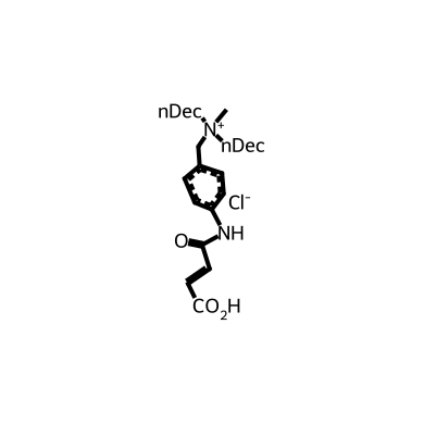 CCCCCCCCCC[N+](C)(CCCCCCCCCC)Cc1ccc(NC(=O)C=CC(=O)O)cc1.[Cl-]